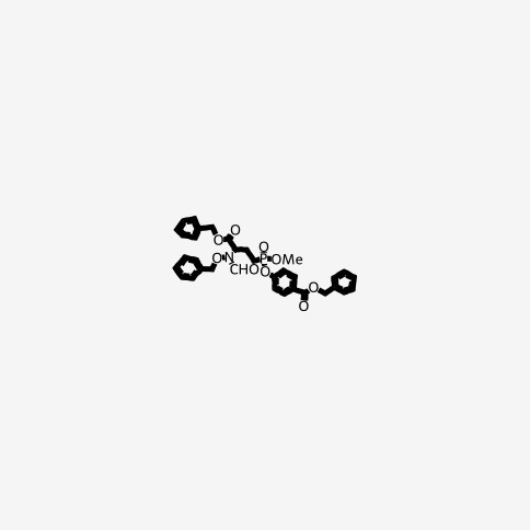 COP(=O)(CCC(C(=O)OCc1ccccc1)N(C=O)OCc1ccccc1)Oc1ccc(C(=O)OCc2ccccc2)cc1